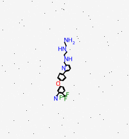 N#Cc1cc(Oc2ccc(-c3cccc(CNCCNCCN)n3)cc2)ccc1C(F)(F)F